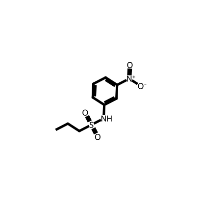 CCCS(=O)(=O)Nc1cccc([N+](=O)[O-])c1